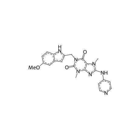 COc1ccc2[nH]c(Cn3c(=O)c4c(nc(Nc5ccncc5)n4C)n(C)c3=O)cc2c1